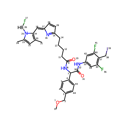 COCc1ccc(C(NC(=O)CCCCC2=N/C(=C\c3c(C)cc(C)n3BF)C=C2)C(=O)Nc2cc(F)c(CI)c(F)c2)cc1